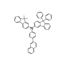 CC1(C)c2ccccc2-c2ccc(N(c3ccc(-c4ccc5ccccc5c4)cc3)c3ccc4c(c3)-c3ccccc3C4(c3ccccc3)c3ccccc3)cc21